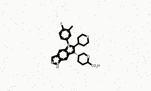 Cc1cc(-n2c(C3CCOCC3)c([C@H]3CCC(C(=O)O)OC3)c3cc4[nH]ncc4cc32)ccc1F